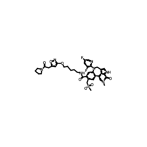 Cn1cc2c3c(c[nH]c3c1=O)CN(c1ncc(F)cc1F)c1cc(C(=O)NCCCCCOc3cc(CC(=O)N4CCCC4)on3)c(CS(C)(=O)=O)cc1-2